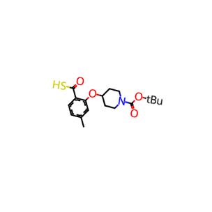 Cc1ccc(C(=O)S)c(OC2CCN(C(=O)OC(C)(C)C)CC2)c1